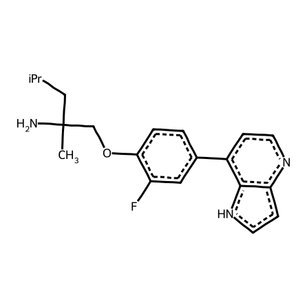 CC(C)CC(C)(N)COc1ccc(-c2ccnc3cc[nH]c23)cc1F